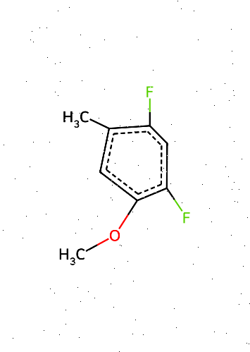 COc1cc(C)c(F)cc1F